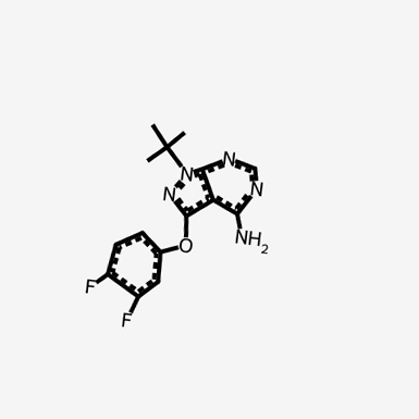 CC(C)(C)n1nc(Oc2ccc(F)c(F)c2)c2c(N)ncnc21